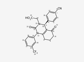 N#Cc1ccc([C@H]2C3=C(CCCC3=O)N(c3cccc(C(F)(F)F)c3)C(=O)N2CC(=O)O)cc1